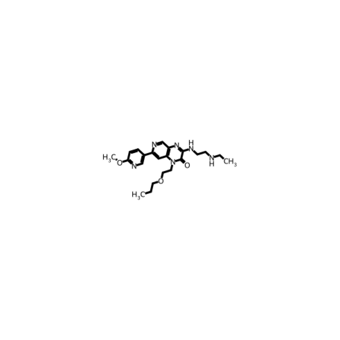 CCCOCCn1c(=O)c(NCCNCC)nc2cnc(-c3ccc(OC)nc3)cc21